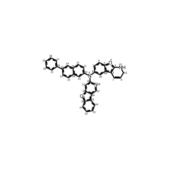 C1=Cc2c(oc3ccc(N(c4ccc5cc(-c6ccccc6)ccc5c4)c4cc5oc6ccccc6c5cn4)cc23)NC1